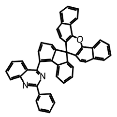 c1ccc(-c2nc(-c3cccc4c3-c3ccccc3C43c4ccc5ccccc5c4Oc4c3ccc3ccccc43)c3ccccc3n2)cc1